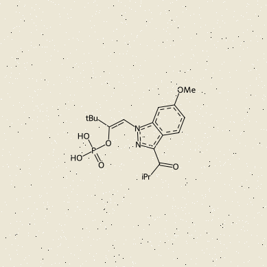 COc1ccc2c(C(=O)C(C)C)nn(/C=C(\OP(=O)(O)O)C(C)(C)C)c2c1